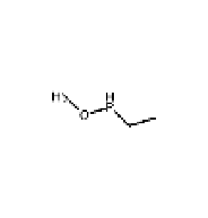 CCPOS